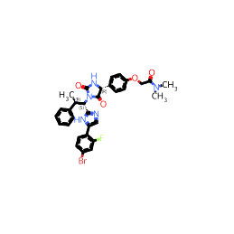 C[C@H](c1ccccc1)[C@@H](c1ncc(-c2ccc(Br)cc2F)[nH]1)N1C(=O)N[C@H](c2ccc(OCC(=O)N(C)C)cc2)C1=O